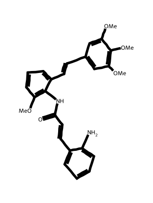 COc1cccc(/C=C/c2cc(OC)c(OC)c(OC)c2)c1NC(=O)/C=C/c1ccccc1N